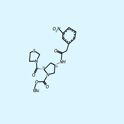 CC(C)(C)OC(=O)N1C[C@@H](NC(=O)Cc2cccc([N+](=O)[O-])c2)C[C@H]1C(=O)N1CCSC1